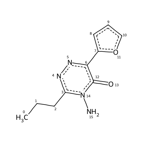 CCCc1nnc(-c2ccco2)c(=O)n1N